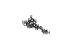 CC(C)(C)OC(=O)Nc1sc2c(F)cnc(-c3c4c(c5cnc(N6CCC(N7CCNC8(CC8)C7)C6)nc5c3F)COC4)c2c1C#N